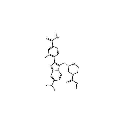 CNC(=O)c1ccc(-c2nc3cc(C(F)F)ccn3c2C[C@H]2CN(C(=O)OC)CCO2)c(C)c1